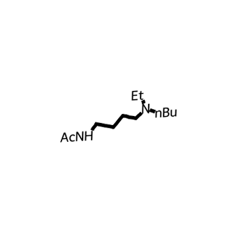 CCCCN(CC)CCCCNC(C)=O